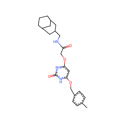 Cc1ccc(COc2cc(OCC(=O)NCC3CC4CCCC(C4)C3)nc(=O)[nH]2)cc1